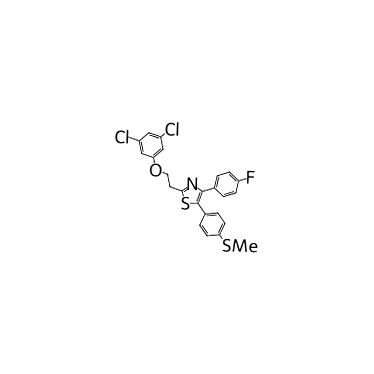 CSc1ccc(-c2sc(CCOc3cc(Cl)cc(Cl)c3)nc2-c2ccc(F)cc2)cc1